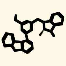 CCc1cc(CN2c3ccccc3C(C)[C@@H]2C)cc(-c2cccc3c2-c2ccccc2C3)c1